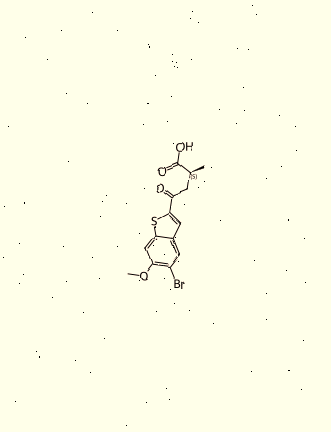 COc1cc2sc(C(=O)C[C@H](C)C(=O)O)cc2cc1Br